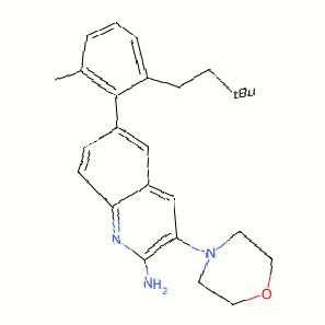 Cc1cccc(CCC(C)(C)C)c1-c1ccc2nc(N)c(N3CCOCC3)cc2c1